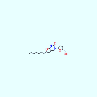 CCCCCCCc1cc2cn([C@@H]3CC[C@H](CO)O3)c(=O)nc2o1